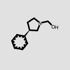 OCN1CC[C@H](c2ccccc2)C1